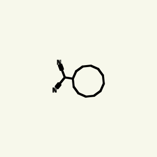 N#CC(C#N)C1CCCCCCCCCCC1